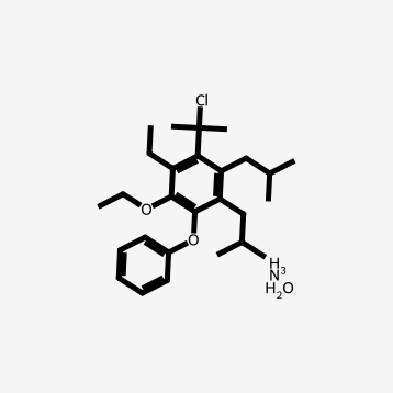 CCOc1c(CC)c(C(C)(C)Cl)c(CC(C)C)c(CC(C)C)c1Oc1ccccc1.N.O